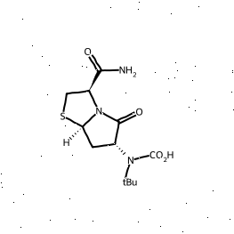 CC(C)(C)N(C(=O)O)[C@@H]1C[C@H]2SC[C@@H](C(N)=O)N2C1=O